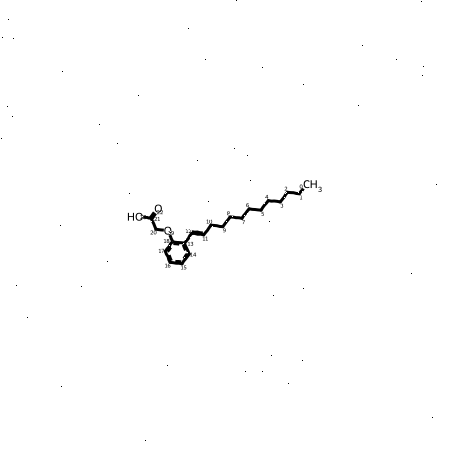 CCCCCCCCCCC/C=C/c1ccccc1OCC(=O)O